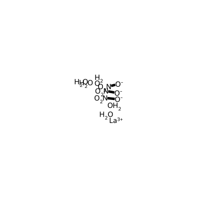 O.O.O.O.O.O=[N+]([O-])[O-].O=[N+]([O-])[O-].O=[N+]([O-])[O-].[La+3]